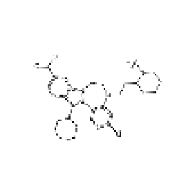 CN1CCCCC1CCN1CCn2c(c(C3CCCCC3)c3ccc(C(=O)O)cc32)-c2ccc(Cl)cc21